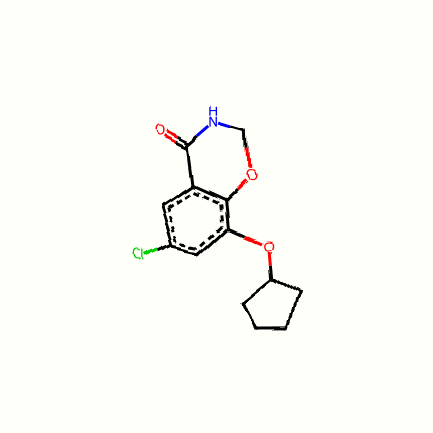 O=C1NCOc2c(OC3CCCC3)cc(Cl)cc21